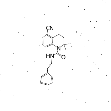 CC1(C)CCc2c(C#N)cccc2N1C(=O)NCCc1ccccc1